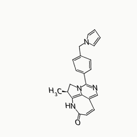 C[C@H]1CN2C(c3ccc(Cn4cccc4)cc3)=NC=C3C=CC(=O)NC1=C32